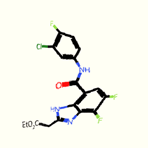 CCOC(=O)Cc1nc2c(F)c(F)cc(C(=O)Nc3ccc(F)c(Cl)c3)c2[nH]1